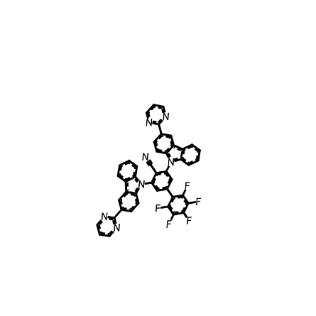 N#Cc1c(-n2c3ccccc3c3cc(-c4ncccn4)ccc32)cc(-c2c(F)c(F)c(F)c(F)c2F)cc1-n1c2ccccc2c2cc(-c3ncccn3)ccc21